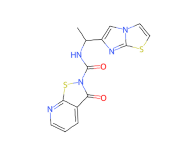 CC(NC(=O)n1sc2ncccc2c1=O)c1cn2ccsc2n1